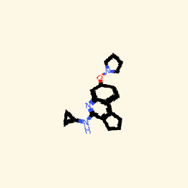 C1=c2nc(NC3CC3)c3c(c2=CCC1ON1CCCC1)CCC3